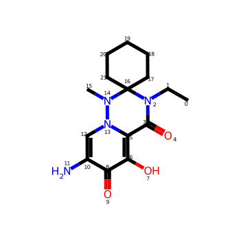 CCN1C(=O)c2c(O)c(=O)c(N)cn2N(C)C12CCCCC2